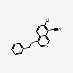 N#Cc1c(Cl)ccc2c(SCc3ccccc3)cncc12